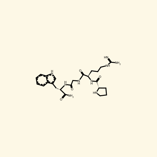 N=C(N)NCCC[C@@H](NC(=O)[C@@H]1CCCN1)C(=O)NCC(=O)N[C@@H](Cc1c[nH]c2ccccc12)C(N)=O